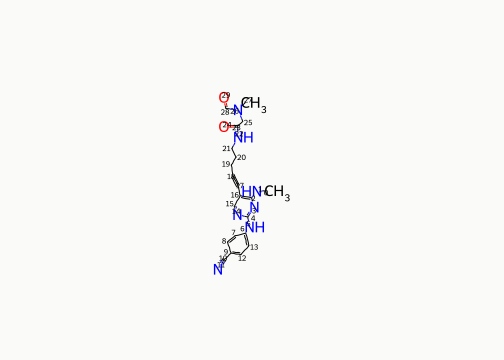 CNc1nc(Nc2ccc(C#N)cc2)ncc1C#CCCCNC(=O)CN(C)C=O